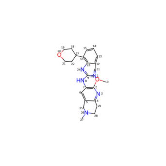 COc1nc2c(cc1Nc1ncc3cccc(C4CCOCC4)c3n1)CN(C)CC2